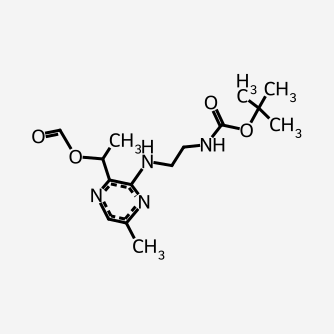 Cc1cnc(C(C)OC=O)c(NCCNC(=O)OC(C)(C)C)n1